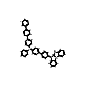 c1ccc(-c2ccc(-c3ccc(N(c4ccccc4)c4ccc(-c5ccc(-n6c7ccccc7n7c8ccccc8nc67)cc5)cc4)cc3)cc2)cc1